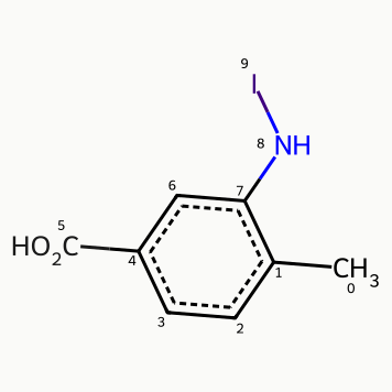 Cc1ccc(C(=O)O)cc1NI